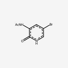 CC(=O)Nc1cc(Br)c[nH]c1=O